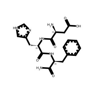 NC(=O)[C@H](Cc1ccccc1)NC(=O)[C@H](Cc1c[nH]cn1)NC(=O)[C@@H](N)CC(=O)O